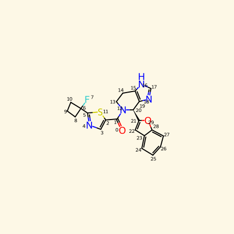 O=C(c1cnc(C2(F)CCC2)s1)N1CCc2[nH]cnc2[C@H]1c1cc2ccccc2o1